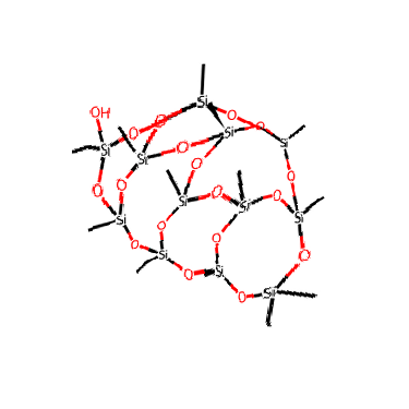 C[Si]1(C)O[Si]2(C)O[Si]3(C)O[Si](C)(O1)O[Si]1(C)O[Si]4(C)O[Si](C)(O)O[Si]5(C)O[Si](C)(O2)O[Si](C)(O3)O[Si@@](C)(O1)O[Si](C)(O5)O4